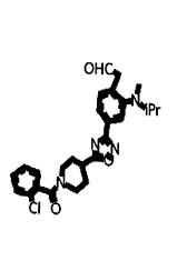 CC(C)N(C)c1cc(-c2noc(C3CCN(C(=O)c4ccccc4Cl)CC3)n2)ccc1CC=O